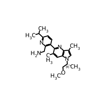 COC[C@@H](C)n1cc(C)c2nc(-c3ccc(C(C)C)nc3CN)c(C)cc21